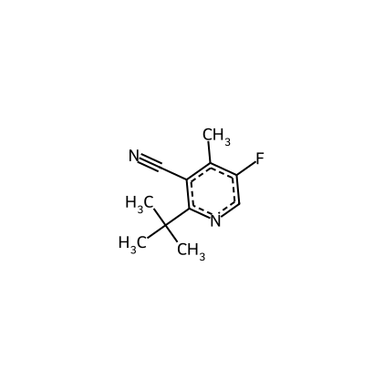 Cc1c(F)cnc(C(C)(C)C)c1C#N